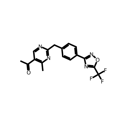 CC(=O)c1cnc(Cc2ccc(-c3noc(C(F)(F)F)n3)cc2)nc1C